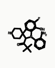 CC(C)(C)C(=O)C1N(c2ccccc2N)c2c(ccc(F)c2O)C12CCNCC2